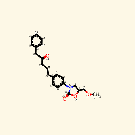 COCC1CN(c2ccc(CCCC(=O)Cc3ccccc3)cc2)C(=O)O1